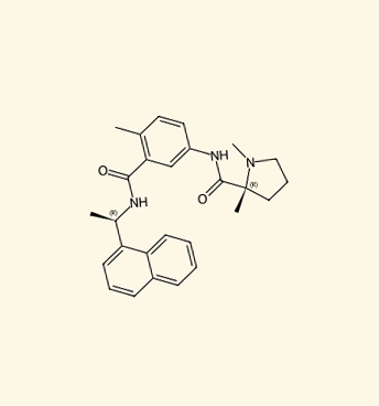 Cc1ccc(NC(=O)[C@@]2(C)CCCN2C)cc1C(=O)N[C@H](C)c1cccc2ccccc12